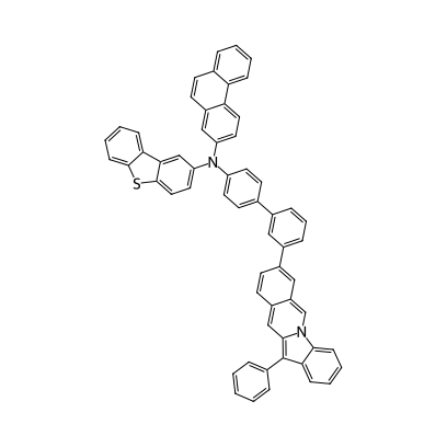 c1ccc(-c2c3ccccc3n3cc4cc(-c5cccc(-c6ccc(N(c7ccc8c(ccc9ccccc98)c7)c7ccc8sc9ccccc9c8c7)cc6)c5)ccc4cc23)cc1